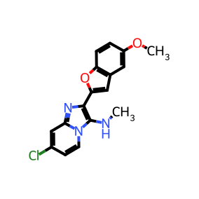 CNc1c(-c2cc3cc(OC)ccc3o2)nc2cc(Cl)ccn12